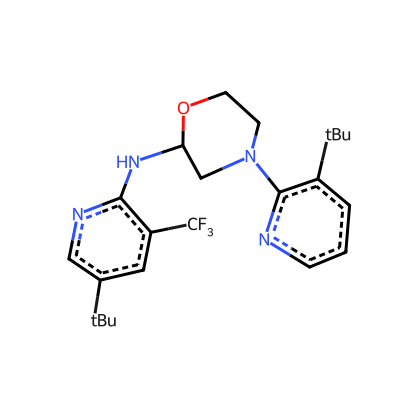 CC(C)(C)c1cnc(NC2CN(c3ncccc3C(C)(C)C)CCO2)c(C(F)(F)F)c1